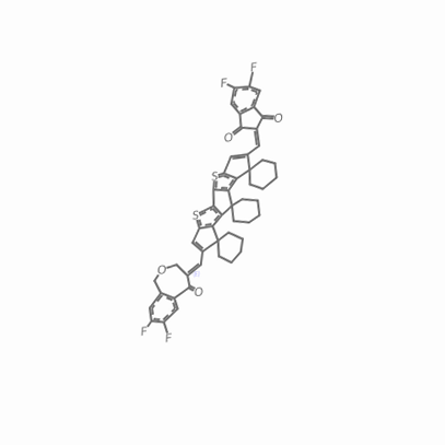 O=C1/C(=C/C2=Cc3sc4c(c3C23CCCCC3)C2(CCCCC2)c2c-4sc3c2C2(CCCCC2)C(C=C2C(=O)c4cc(F)c(F)cc4C2=O)=C3)COCc2cc(F)c(F)cc21